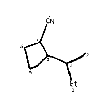 CCC(C)C1CCC1C#N